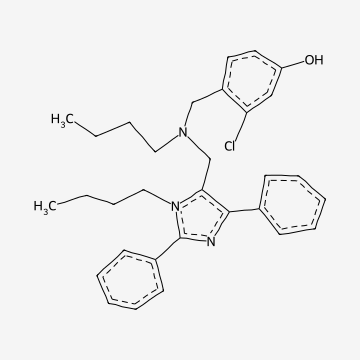 CCCCN(Cc1ccc(O)cc1Cl)Cc1c(-c2ccccc2)nc(-c2ccccc2)n1CCCC